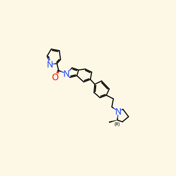 C[C@@H]1CCCN1CCc1ccc(-c2ccc3cn(C(=O)c4ccccn4)cc3c2)cc1